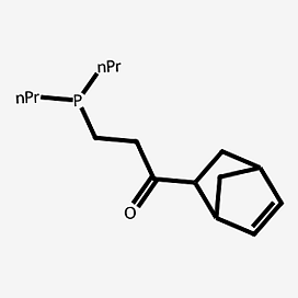 CCCP(CCC)CCC(=O)C1CC2C=CC1C2